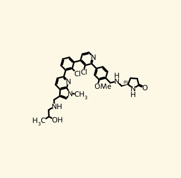 COc1cc(-c2nccc(-c3cccc(-c4ccc5c(CNCC(C)O)cn(C)c5n4)c3Cl)c2Cl)ccc1CNC[C@H]1CCC(=O)N1